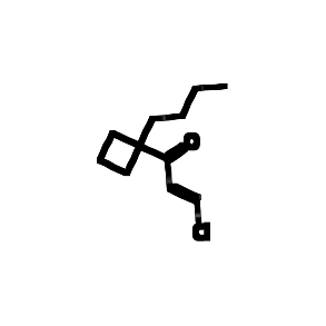 CCCCC1(C(=O)C=CCl)CCC1